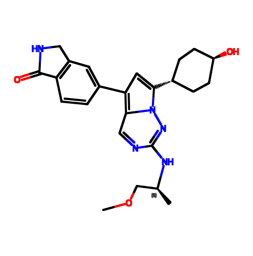 COC[C@H](C)Nc1ncc2c(-c3ccc4c(c3)CNC4=O)cc([C@H]3CC[C@H](O)CC3)n2n1